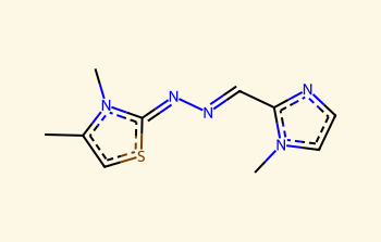 Cc1cs/c(=N\N=C\c2nccn2C)n1C